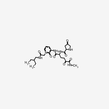 CCC(CC)CNC(=O)Cn1cccc(NC(=O)C(CCC(=O)C(=O)NC)NC(=O)C2CC(=O)CN2)c1=O